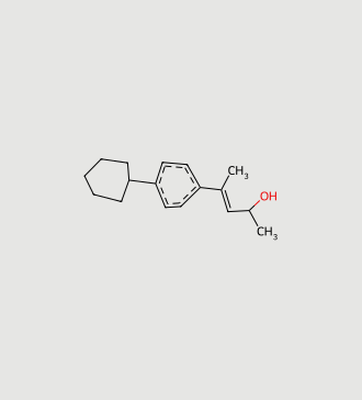 C/C(=C\C(C)O)c1ccc(C2CCCCC2)cc1